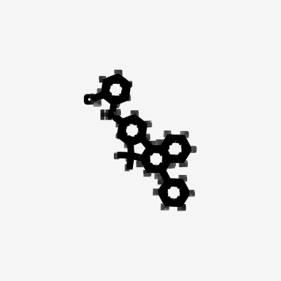 CC1(C)c2cc(Nc3ccccc3Cl)ccc2-c2c1cc(-c1ccccc1)c1ccccc21